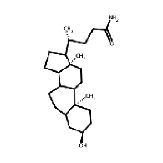 C[C@H](CCC(N)=O)C1CCC2C3CCC4C[C@H](O)CC[C@]4(C)C3CC[C@@]21C